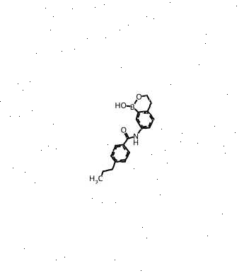 CCCc1ccc(C(=O)Nc2ccc3c(c2)B(O)OCC3)cc1